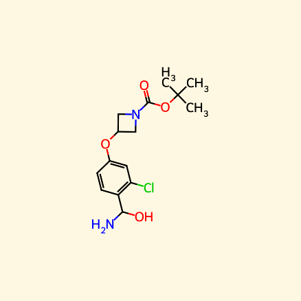 CC(C)(C)OC(=O)N1CC(Oc2ccc(C(N)O)c(Cl)c2)C1